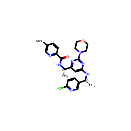 COc1ccc(C(=O)N[C@@H](C)c2cc(N[C@H](C)c3ccc(Cl)nc3)nc(N3CCOCC3)n2)nc1